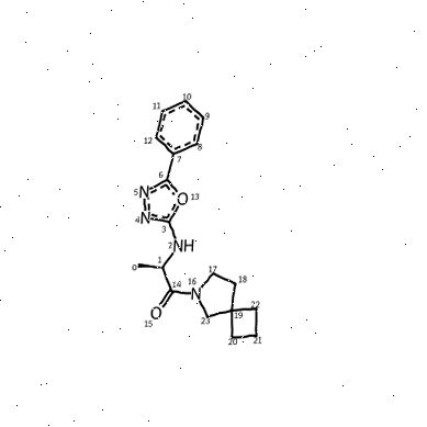 C[C@@H](Nc1nnc(-c2ccccc2)o1)C(=O)N1CCC2(CCC2)C1